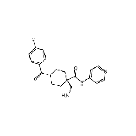 NC[C@]1(C(=O)Nc2ccncc2)CC[C@H](C(=O)c2ccc(Cl)cc2)CC1